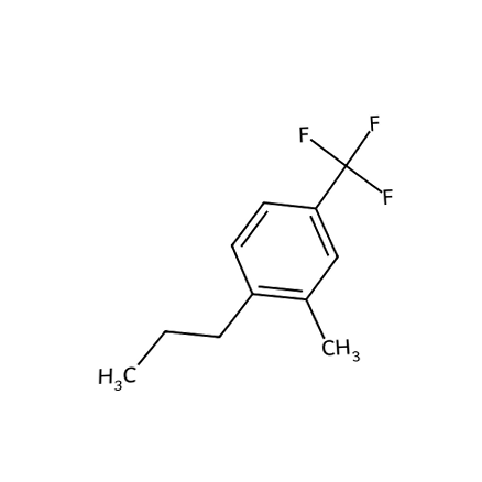 CCCc1ccc(C(F)(F)F)cc1C